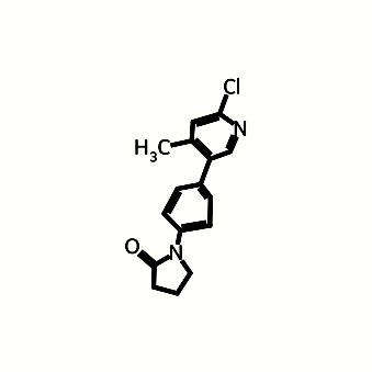 Cc1cc(Cl)ncc1-c1ccc(N2CCCC2=O)cc1